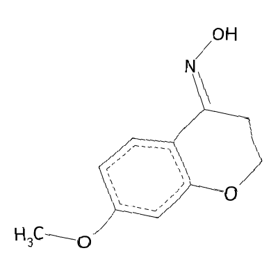 COc1ccc2c(c1)OCC/C2=N\O